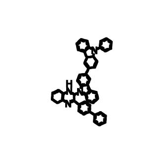 C1=CC2=C(CC1)N=C(c1ccc(-c3ccccc3)cc1)C(n1c3ccccc3c3cc(C4=CC5c6ccccc6N(c6ccccc6)C5C=C4)ccc31)N2